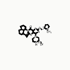 Cc1nc2c(N3CCN[C@@H](CC#N)C3)nc(OC[C@@H]3CCCN3C)nc2c(=O)n1-c1cccc2cccc(C3CC3)c12